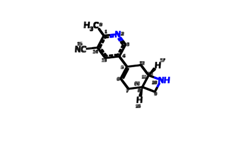 Cc1ncc(C2=CC[C@H]3CN[C@H]3C2)cc1C#N